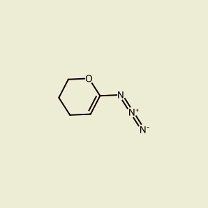 [N-]=[N+]=NC1=CCCCO1